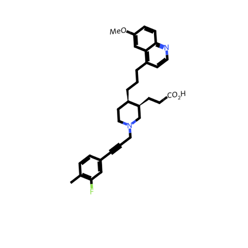 COc1ccc2nccc(CCC[C@@H]3CCN(CC#Cc4ccc(C)c(F)c4)C[C@@H]3CCC(=O)O)c2c1